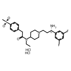 CCN(C(=O)Cc1ccc(S(C)(=O)=O)cc1)C1CCN(CC[C@H](N)c2cc(F)cc(F)c2)CC1.Cl.Cl